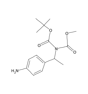 COC(=O)N(C(=O)OC(C)(C)C)C(C)c1ccc(N)cc1